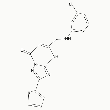 O=c1cc(CNc2cccc(Cl)c2)[nH]c2nc(-c3cccs3)nn12